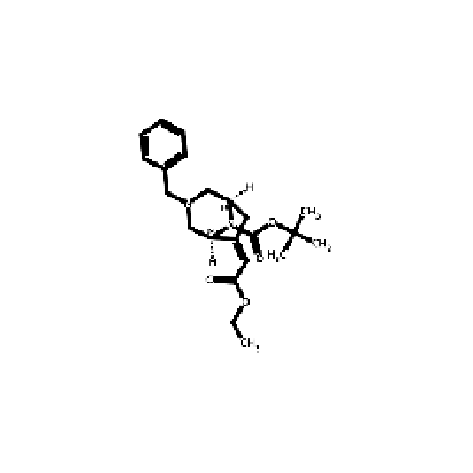 CCOC(=O)C=C1C[C@@H]2CN(Cc3ccccc3)C[C@H]1N2C(=O)OC(C)(C)C